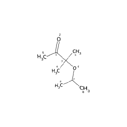 CC(=O)C(C)(C)OC(C)C